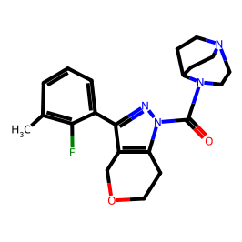 Cc1cccc(-c2nn(C(=O)N3CCN4CCC3CC4)c3c2COCC3)c1F